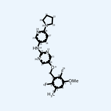 COc1cc(C)c(F)c(COc2cnc(Nc3ccc(N4CCCC4)nc3)nc2)c1F